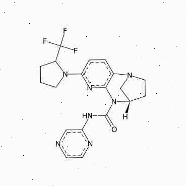 O=C(Nc1cnccn1)N1c2nc(N3CCCC3C(F)(F)F)ccc2N2CC[C@H]1C2